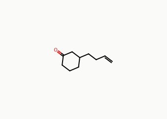 C=CCCC1CCCC(=O)C1